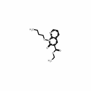 CCCCOn1c(=O)c(C(=O)OCC)cc2cccnc21